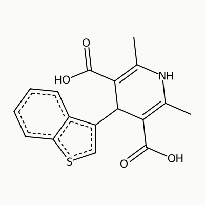 CC1=C(C(=O)O)C(c2csc3ccccc23)C(C(=O)O)=C(C)N1